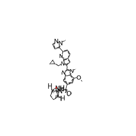 COc1cc(C(=O)N2C[C@H]3CC[C@@H]2[C@@H]3N)cc2nc(-c3cc4ccc(-c5ccnn5C)nc4n3CC3CC3)n(C)c12